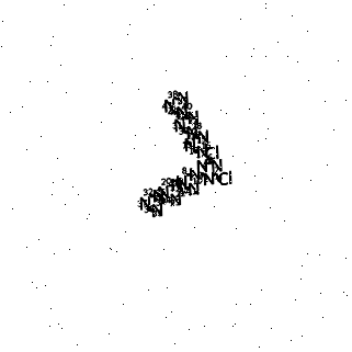 Clc1ncnc(Cl)n1.c1ncncn1.c1ncncn1.c1ncncn1.c1ncncn1.c1ncncn1.c1ncncn1